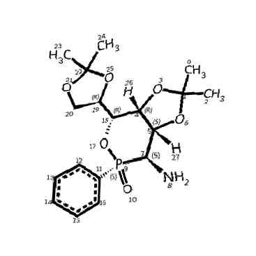 CC1(C)O[C@@H]2[C@H](O1)[C@@H](N)[P@](=O)(c1ccccc1)O[C@@H]2[C@H]1COC(C)(C)O1